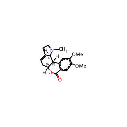 COc1cc2c(cc1OC)[C@H]1[C@H]3C(=CC[C@H]1OC2=O)CCN3C